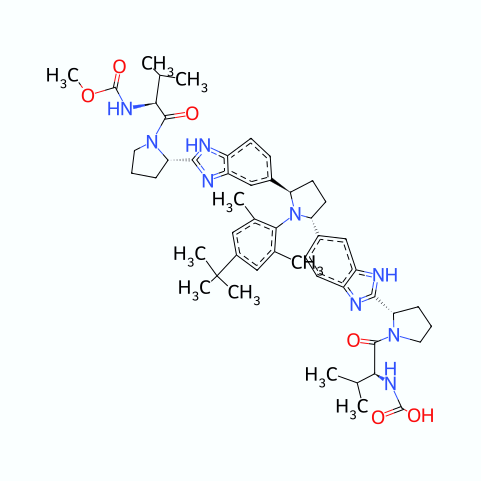 COC(=O)N[C@H](C(=O)N1CCC[C@H]1c1nc2cc([C@H]3CC[C@H](c4ccc5nc([C@@H]6CCCN6C(=O)[C@@H](NC(=O)O)C(C)C)[nH]c5c4)N3c3c(C)cc(C(C)(C)C)cc3C)ccc2[nH]1)C(C)C